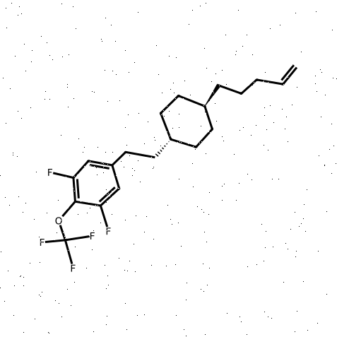 C=CCCC[C@H]1CC[C@H](CCc2cc(F)c(OC(F)(F)F)c(F)c2)CC1